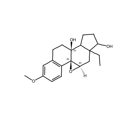 CCC12C[C@H]3O[C@]34c3ccc(OC)cc3CC[C@]4(O)C1CCC2O